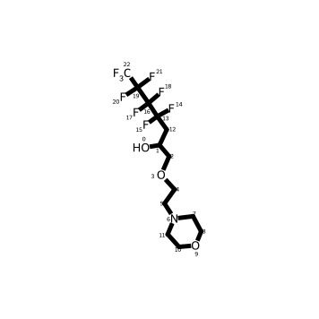 OC(COCCN1CCOCC1)CC(F)(F)C(F)(F)C(F)(F)C(F)(F)F